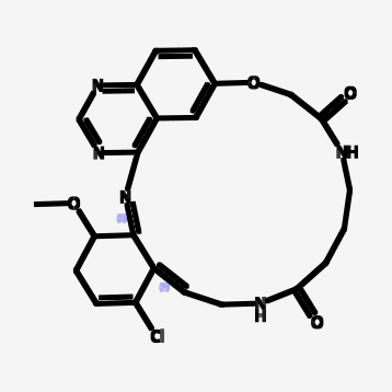 COC1CC=C(Cl)C2=C/CNC(=O)CCCNC(=O)COc3ccc4ncnc(c4c3)/N=C\21